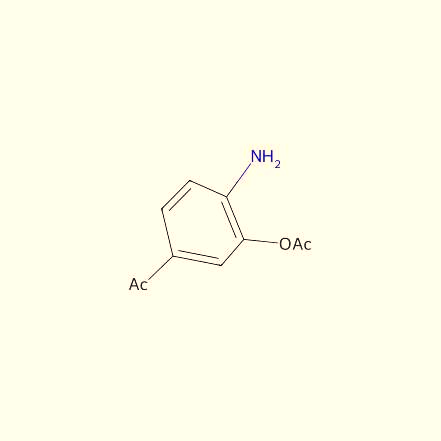 CC(=O)Oc1cc(C(C)=O)ccc1N